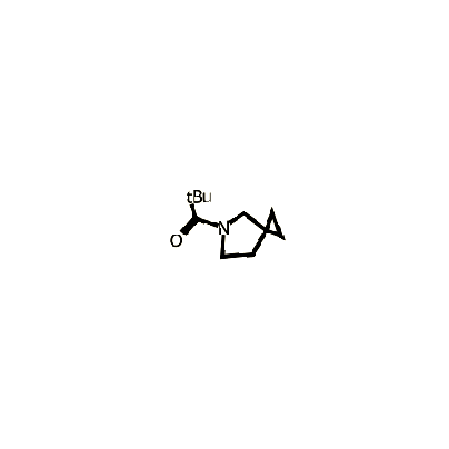 CC(C)(C)C(=O)N1CCC2(CC2)C1